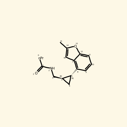 CCCC(=O)NC[C@@H]1C[C@H]1c1cccc2oc(C)cc12